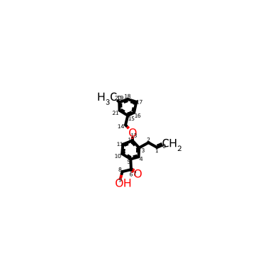 C=CCc1cc(C(=O)CO)ccc1OCc1cccc(C)c1